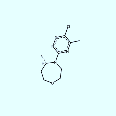 Cc1nc(N2CCOCC[C@@H]2C)nnc1Cl